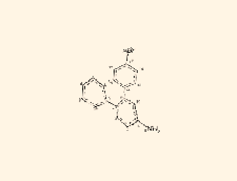 Nc1ccc(-c2ccccc2)c(-c2ccc(Br)cc2)c1